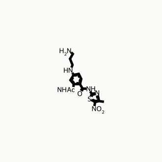 CC(=O)Nc1cc(NCCCN)ccc1C(=O)Nc1nc(C)c([N+](=O)[O-])s1